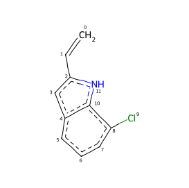 C=Cc1cc2cccc(Cl)c2[nH]1